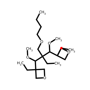 CCCCOCC(CC)(C(OC)C1(CC)COC1)C(OC)C1(CC)COC1